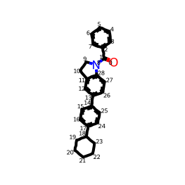 O=C(c1ccccc1)N1CCc2cc(-c3ccc(C4CCCCC4)cc3)ccc21